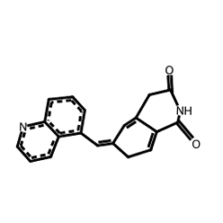 O=C1CC2=CC(=Cc3cccc4ncccc34)CC=C2C(=O)N1